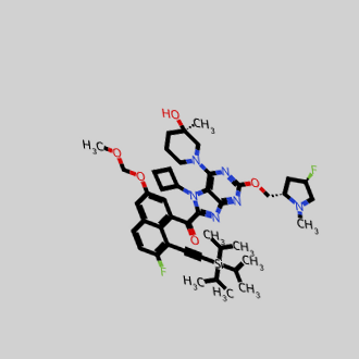 COCOc1cc(C(=O)c2nc3nc(OC[C@@H]4C[C@@H](F)CN4C)nc(N4CCC[C@@](C)(O)C4)c3n2C2CCC2)c2c(C#C[Si](C(C)C)(C(C)C)C(C)C)c(F)ccc2c1